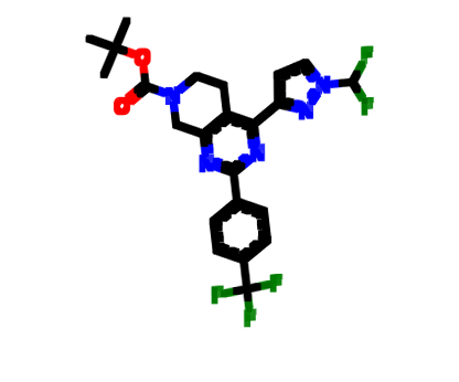 CC(C)(C)OC(=O)N1CCc2c(nc(-c3ccc(C(F)(F)F)cc3)nc2-c2ccn(C(F)F)n2)C1